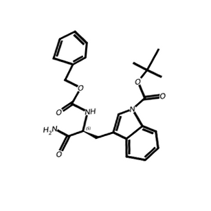 CC(C)(C)OC(=O)n1cc(C[C@H](NC(=O)OCc2ccccc2)C(N)=O)c2ccccc21